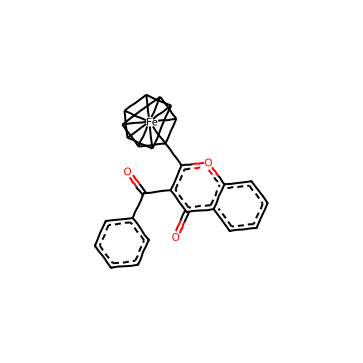 O=C(c1ccccc1)c1c([C]23[CH]4[CH]5[CH]6[CH]2[Fe]56432789[CH]3[CH]2[CH]7[CH]8[CH]39)oc2ccccc2c1=O